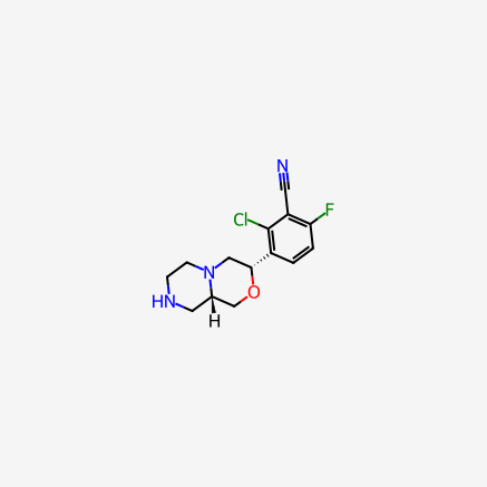 N#Cc1c(F)ccc([C@H]2CN3CCNC[C@H]3CO2)c1Cl